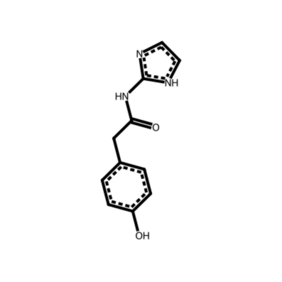 O=C(Cc1ccc(O)cc1)Nc1ncc[nH]1